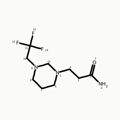 NC(=O)CCN1CCCN(CC(F)(F)F)C1